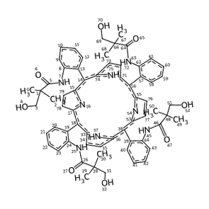 CC(C)(CO)C(=O)Nc1ccccc1-c1c2nc(c(-c3ccccc3NC(=O)C(C)(C)CO)c3ccc([nH]3)c(-c3ccccc3NC(=O)C(C)(C)CO)c3nc(c(-c4ccccc4NC(=O)C(C)(C)CO)c4ccc1[nH]4)C=C3)C=C2